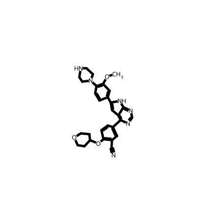 COc1cc(-c2cc3c(-c4ccc(OC5CCOCC5)c(C#N)c4)ncnc3[nH]2)ccc1N1CCNCC1